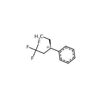 CC[C@H](CC(F)(F)F)c1ccccc1